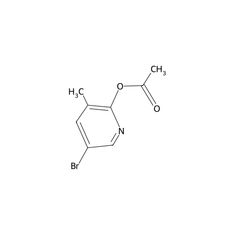 CC(=O)Oc1ncc(Br)cc1C